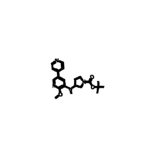 COc1ncc(-c2ccncc2)cc1N(C)C1CCN(C(=O)OC(C)(C)C)C1